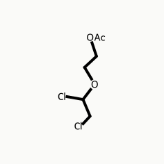 CC(=O)OCCOC(Cl)CCl